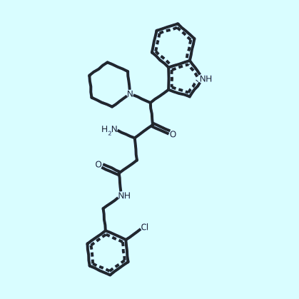 NC(CC(=O)NCc1ccccc1Cl)C(=O)C(c1c[nH]c2ccccc12)N1CCCCC1